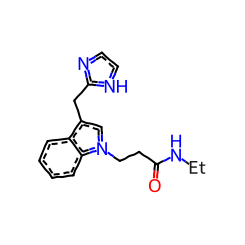 CCNC(=O)CCn1cc(Cc2ncc[nH]2)c2ccccc21